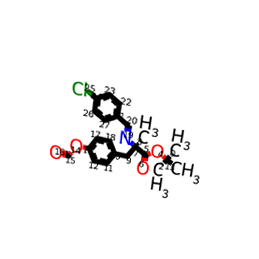 CC(C)(C)OC(=O)[C@](C)(Cc1ccc(OC=O)cc1)/N=C/c1ccc(Cl)cc1